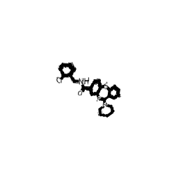 O=C(NCc1ccccc1Cl)c1ccc2c(c1)N=C(N1CCCCC1)c1ccccc1S2